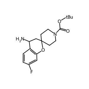 CC(C)(C)OC(=O)N1CCC2(CC1)CC(N)c1ccc(F)cc1O2